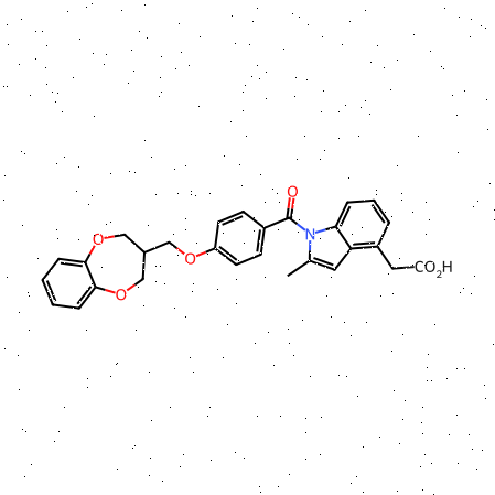 Cc1cc2c(CC(=O)O)cccc2n1C(=O)c1ccc(OCC2COc3ccccc3OC2)cc1